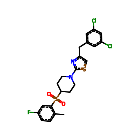 Cc1ccc(F)cc1S(=O)(=O)C1CCN(c2nc(Cc3cc(Cl)cc(Cl)c3)cs2)CC1